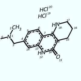 CCN(C)Cc1ccc2c3c(c(=O)[nH]c2c1)CCCN3.Cl.Cl